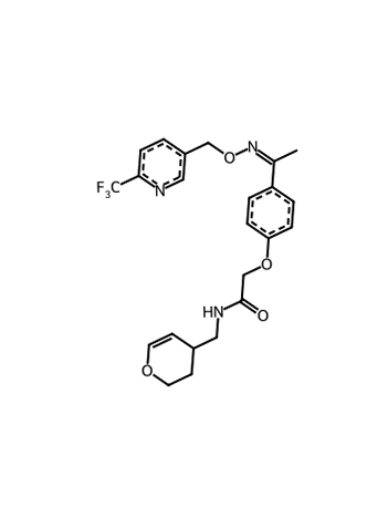 CC(=NOCc1ccc(C(F)(F)F)nc1)c1ccc(OCC(=O)NCC2C=COCC2)cc1